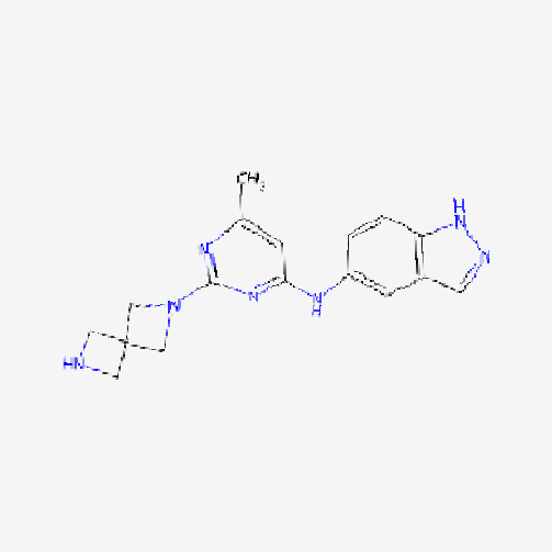 Cc1cc(Nc2ccc3[nH]ncc3c2)nc(N2CC3(CNC3)C2)n1